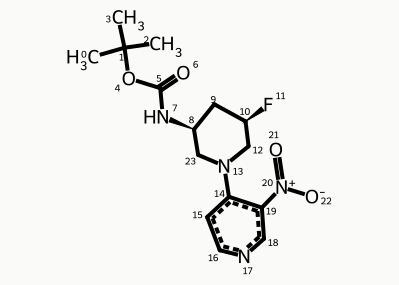 CC(C)(C)OC(=O)N[C@H]1C[C@@H](F)CN(c2ccncc2[N+](=O)[O-])C1